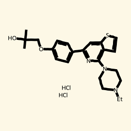 CCN1CCN(c2nc(-c3ccc(OCC(C)(C)O)cc3)cc3sccc23)CC1.Cl.Cl